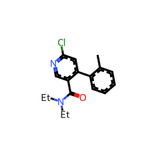 CCN(CC)C(=O)c1cnc(Cl)cc1-c1ccccc1C